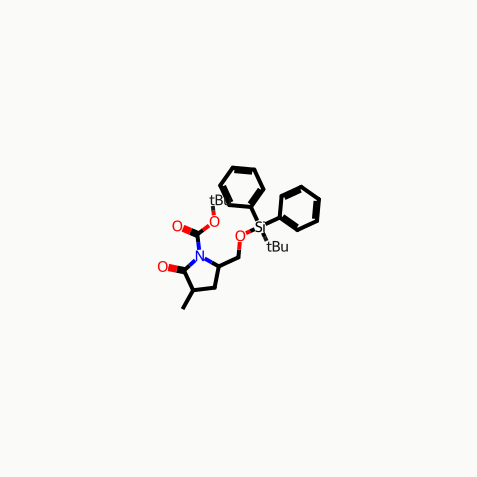 CC1CC(CO[Si](c2ccccc2)(c2ccccc2)C(C)(C)C)N(C(=O)OC(C)(C)C)C1=O